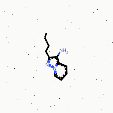 CCCCc1nn2ccccc2c1N